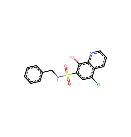 O=S(=O)(NCc1ccccc1)c1cc(Cl)c2cccnc2c1O